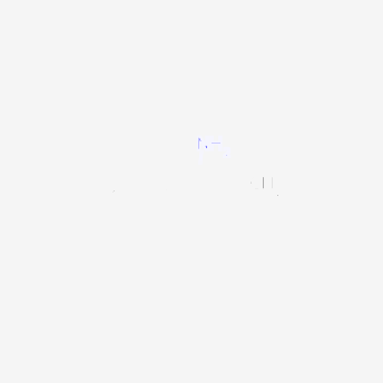 C=CC(N)C12CC(c3ccccc31)c1ccccc12